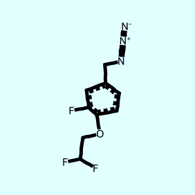 [N-]=[N+]=NCc1ccc(OCC(F)F)c(F)c1